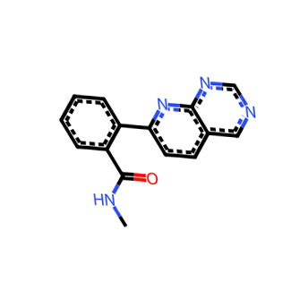 CNC(=O)c1ccccc1-c1ccc2cncnc2n1